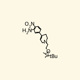 CC(C)(C)[Si](C)(C)OCCN1CC=C(c2ccc([N+](=O)[O-])c(N)c2)CC1